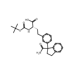 CC(C)(C)OC(=O)N[C@@H](CCc1cccc(C2(C(N)=O)CCc3ccccc32)c1)C(=O)O